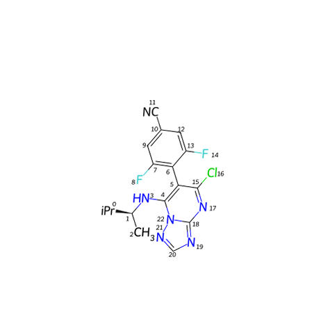 CC(C)[C@H](C)Nc1c(-c2c(F)cc(C#N)cc2F)c(Cl)nc2ncnn12